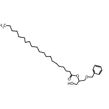 CCCCCCCCCCCCCCCCCCCCC(=O)OC(CO)COCc1ccccc1